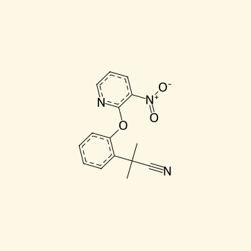 CC(C)(C#N)c1ccccc1Oc1ncccc1[N+](=O)[O-]